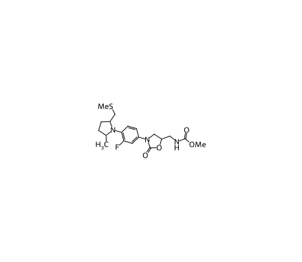 COC(=O)NCC1CN(c2ccc(N3C(C)CCC3CSC)c(F)c2)C(=O)O1